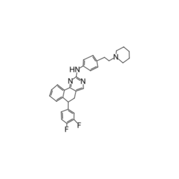 Fc1ccc(C2Cc3cnc(Nc4ccc(CCN5CCCCC5)cc4)nc3-c3ccccc32)cc1F